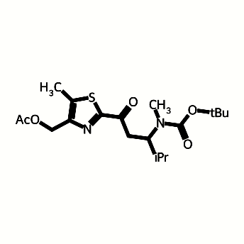 CC(=O)OCc1nc(C(=O)CC(C(C)C)N(C)C(=O)OC(C)(C)C)sc1C